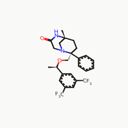 C[C@@H](OC[C@@]1(c2ccccc2)CC[C@]2(C)CN1CC(=O)N2)c1cc(C(F)(F)F)cc(C(F)(F)F)c1